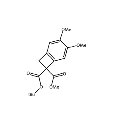 COC(=O)C1(C(=O)OC(C)(C)C)Cc2cc(OC)c(OC)cc21